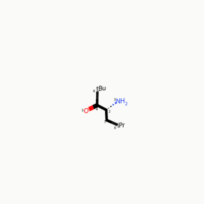 CC(C)C[C@@H](N)C(=O)C(C)(C)C